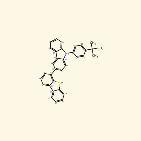 CC(C)(C)c1ccc(-n2c3ccccc3c3cc(-c4cccc5c4sc4ccccc45)ccc32)cc1